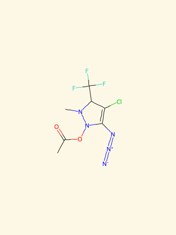 CC(=O)ON1C(N=[N+]=[N-])=C(Cl)C(C(F)(F)F)N1C